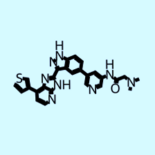 CN(C)CC(=O)Nc1cncc(-c2ccc3[nH]nc(-c4nc5c(-c6ccsc6)ccnc5[nH]4)c3c2)c1